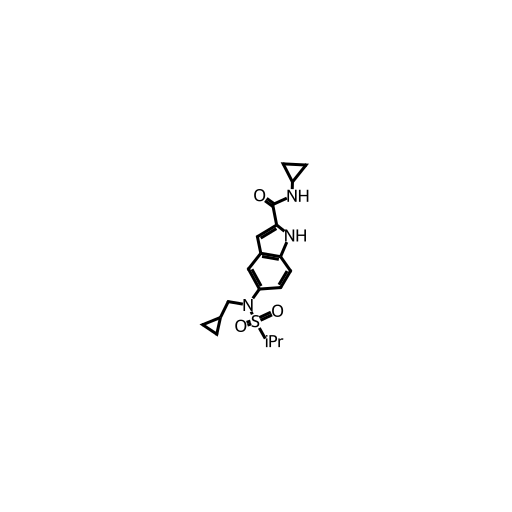 CC(C)S(=O)(=O)N(CC1CC1)c1ccc2[nH]c(C(=O)NC3CC3)cc2c1